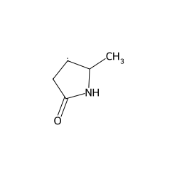 CC1[CH]CC(=O)N1